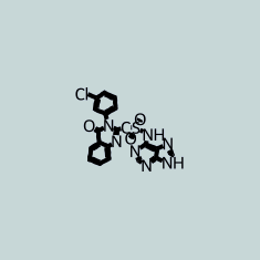 O=c1c2ccccc2nc(CS(=O)(=O)Nc2ncnc3[nH]cnc23)n1-c1cccc(Cl)c1